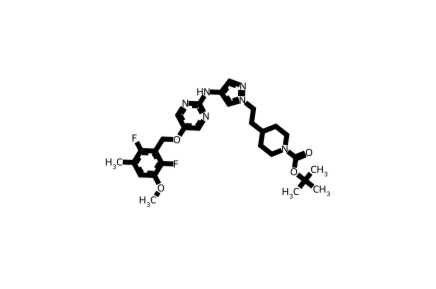 COc1cc(C)c(F)c(COc2cnc(Nc3cnn(CCC4CCN(C(=O)OC(C)(C)C)CC4)c3)nc2)c1F